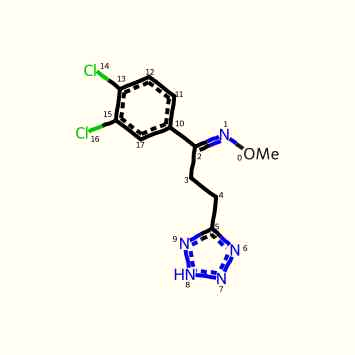 CON=C(CCc1nn[nH]n1)c1ccc(Cl)c(Cl)c1